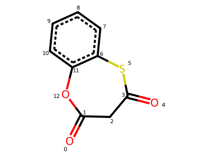 O=C1CC(=O)Sc2ccccc2O1